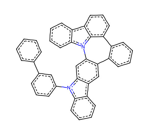 c1ccc(-c2cccc(-n3c4ccccc4c4cc5c(cc43)-n3c4ccccc4c4cccc(c43)-c3ccccc3-5)c2)cc1